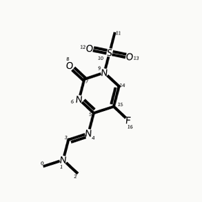 CN(C)/C=N/c1nc(=O)n(S(C)(=O)=O)cc1F